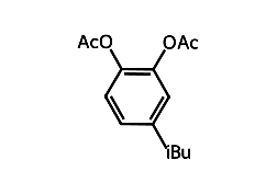 CCC(C)c1ccc(OC(C)=O)c(OC(C)=O)c1